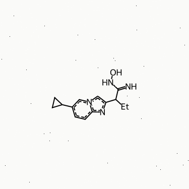 CCC(C(=N)NO)c1cn2cc(C3CC3)ccc2n1